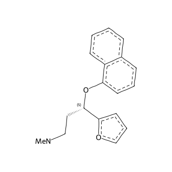 CNCC[C@H](Oc1cccc2ccccc12)c1ccco1